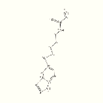 C=CC(=O)NCCCCOc1ccc2[nH]ccc2c1